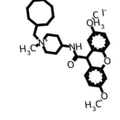 COc1ccc2c(c1)Oc1ccc(OC)cc1C2C(=O)NC1CC[N+](C)(CC2CCCCCCC2)CC1.[I-]